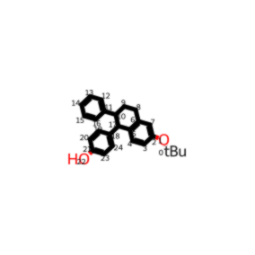 CC(C)(C)Oc1ccc2c(c1)CCC(c1ccccc1)C2c1ccc(O)cc1